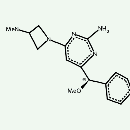 CNC1CN(c2cc([C@H](OC)c3ccccc3)nc(N)n2)C1